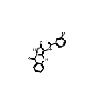 O=C(Nc1c(=O)[nH]n2c(=O)c3ccccc3[nH]c12)c1cccc(Cl)c1